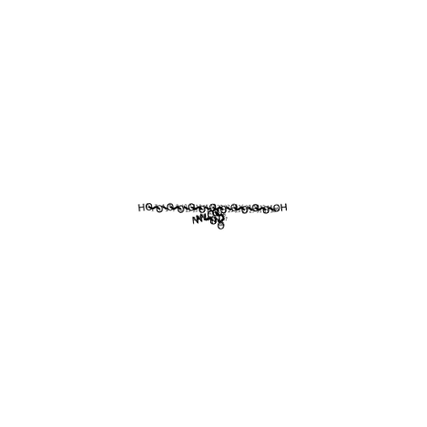 OCCOCCOCCOCCOCCOCCOCCOCCOCCOCCOCCOCCO.[N-]=[N+]=NCC(=O)ON1C(=O)CCC1=O